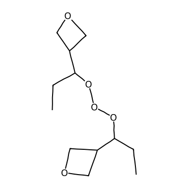 CCC(OOOC(CC)C1COC1)C1COC1